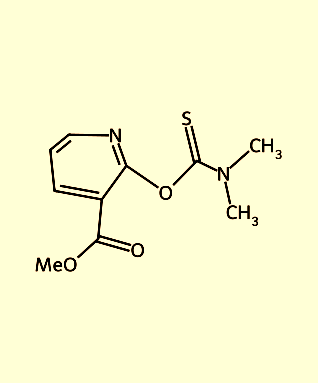 COC(=O)c1cccnc1OC(=S)N(C)C